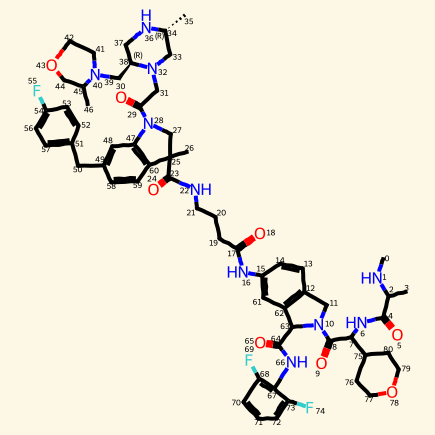 CNC(C)C(=O)NC(C(=O)N1Cc2ccc(NC(=O)CCCNC(=O)C3(C)CN(C(=O)CN4C[C@@H](C)NC[C@@H]4CN4CCOCC4C)c4cc(Cc5ccc(F)cc5)ccc43)cc2C1C(=O)Nc1c(F)cccc1F)C1CCOCC1